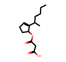 CCCCC(C)C1=CCCC1OC(=O)CC(=O)O